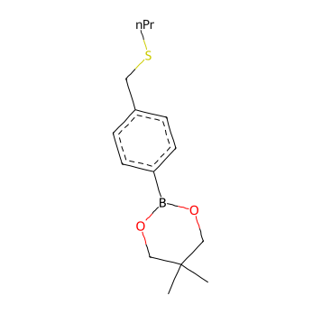 CCCSCc1ccc(B2OCC(C)(C)CO2)cc1